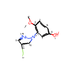 COc1ccc(O)cc1-n1cc(F)cn1